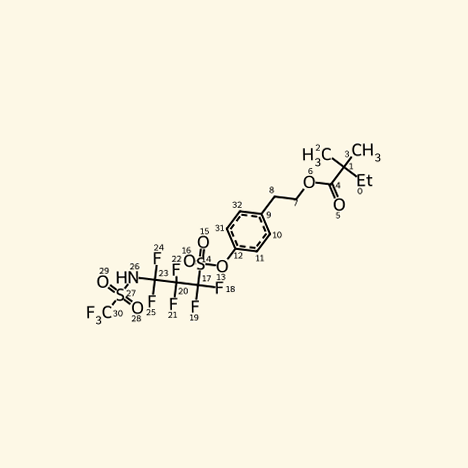 CCC(C)(C)C(=O)OCCc1ccc(OS(=O)(=O)C(F)(F)C(F)(F)C(F)(F)NS(=O)(=O)C(F)(F)F)cc1